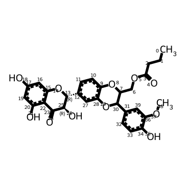 CCCC(=O)OCC1Oc2ccc([C@H]3Oc4cc(O)cc(O)c4C(=O)[C@@H]3O)cc2OC1c1ccc(O)c(OC)c1